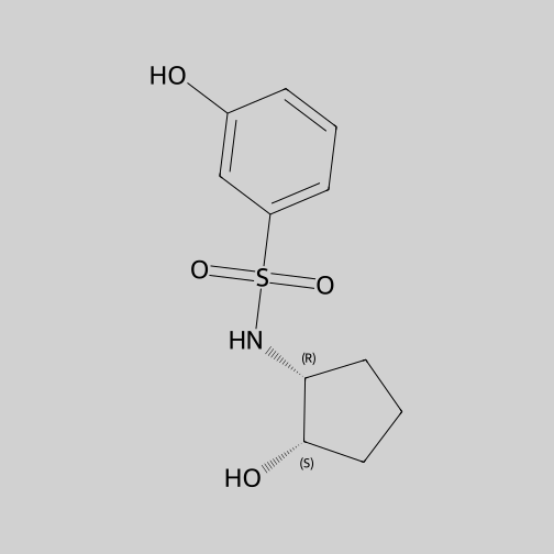 O=S(=O)(N[C@@H]1CCC[C@@H]1O)c1cccc(O)c1